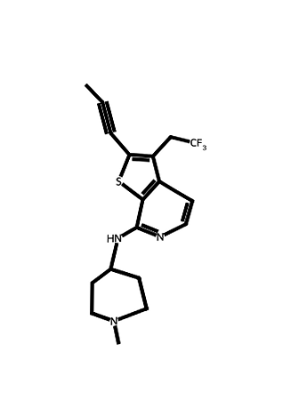 CC#Cc1sc2c(NC3CCN(C)CC3)nccc2c1CC(F)(F)F